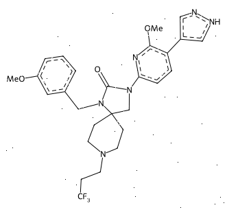 COc1cccc(CN2C(=O)N(c3ccc(-c4cn[nH]c4)c(OC)n3)CC23CCN(CCC(F)(F)F)CC3)c1